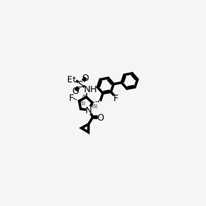 CCS(=O)(=O)N[C@H]1[C@@H](F)CN(C(=O)C2CC2)[C@H]1Cc1cccc(-c2ccccc2)c1F